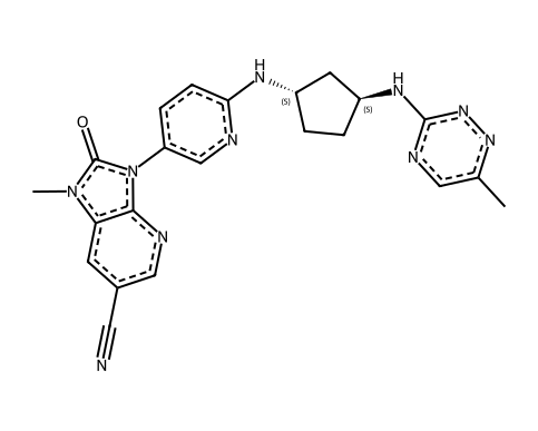 Cc1cnc(N[C@H]2CC[C@H](Nc3ccc(-n4c(=O)n(C)c5cc(C#N)cnc54)cn3)C2)nn1